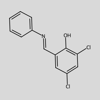 Oc1c(Cl)cc(Cl)cc1C=Nc1ccccc1